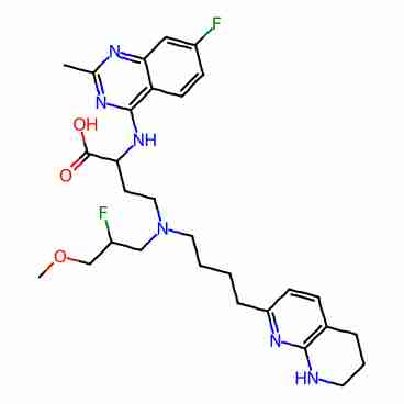 COCC(F)CN(CCCCc1ccc2c(n1)NCCC2)CCC(Nc1nc(C)nc2cc(F)ccc12)C(=O)O